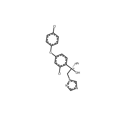 CCC[C@](O)(Cn1cncn1)c1ccc(Oc2ccc(Cl)cc2)cc1Cl